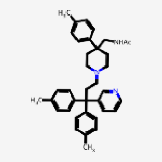 CC(=O)NCC1(c2ccc(C)cc2)CCN(CCC(c2ccc(C)cc2)(c2ccc(C)cc2)c2cccnc2)CC1